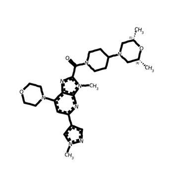 C[C@@H]1CN(C2CCN(C(=O)c3nc4c(N5CCOCC5)cc(-c5cnn(C)c5)nc4n3C)CC2)C[C@H](C)O1